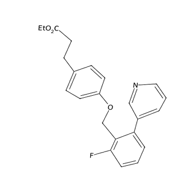 CCOC(=O)CCc1ccc(OCc2c(F)cccc2-c2cccnc2)cc1